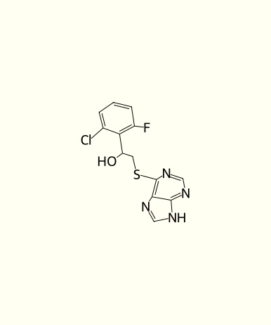 OC(CSc1ncnc2[nH]cnc12)c1c(F)cccc1Cl